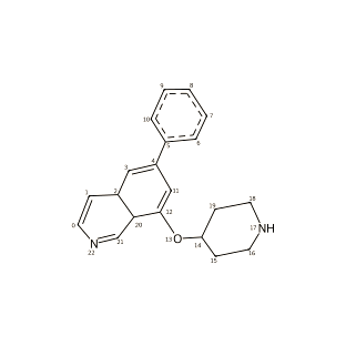 C1=CC2C=C(c3ccccc3)C=C(OC3CCNCC3)C2C=N1